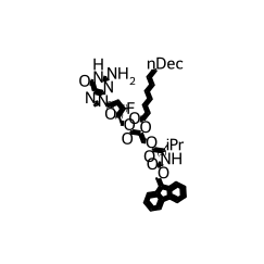 CCCCCCCCCCCCCCCCCC(=O)OC(COC(=O)[C@@H](NC(=O)OCC1c2ccccc2-c2ccccc21)C(C)C)C(=O)OC[C@H]1O[C@@H](n2cnc3c(=O)[nH]c(N)nc32)C[C@@H]1F